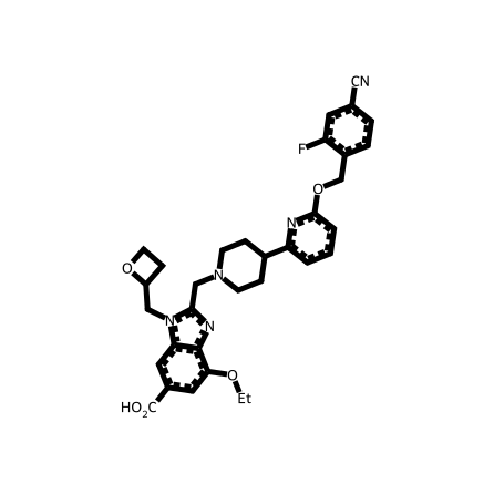 CCOc1cc(C(=O)O)cc2c1nc(CN1CCC(c3cccc(OCc4ccc(C#N)cc4F)n3)CC1)n2CC1CCO1